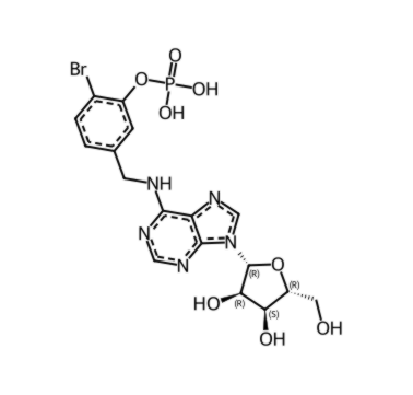 O=P(O)(O)Oc1cc(CNc2ncnc3c2ncn3[C@@H]2O[C@H](CO)[C@@H](O)[C@H]2O)ccc1Br